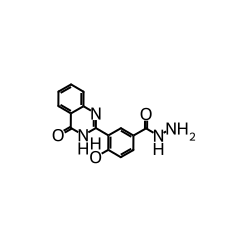 NNC(=O)c1ccc(O)c(-c2nc3ccccc3c(=O)[nH]2)c1